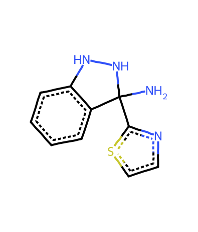 NC1(c2nccs2)NNc2ccccc21